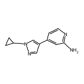 Nc1cc(-c2cnn(C3CC3)c2)ccn1